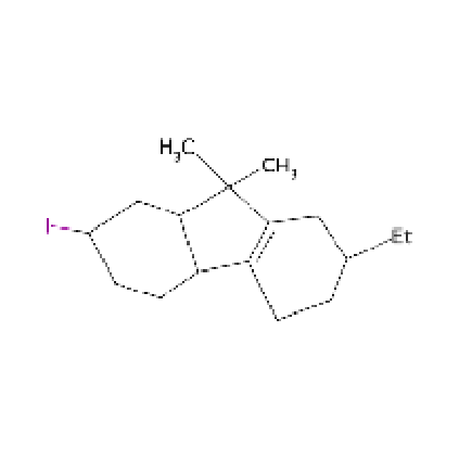 CCC1CCC2=C(C1)C(C)(C)C1CC(I)CCC21